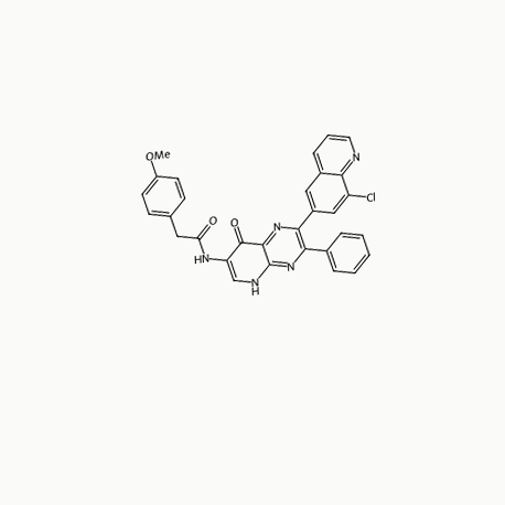 COc1ccc(CC(=O)Nc2c[nH]c3nc(-c4ccccc4)c(-c4cc(Cl)c5ncccc5c4)nc3c2=O)cc1